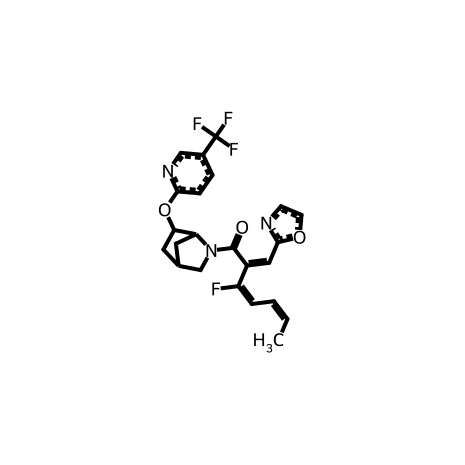 C\C=C/C=C(F)\C(=C\c1ncco1)C(=O)N1CC2CC(Oc3ccc(C(F)(F)F)cn3)C1C2